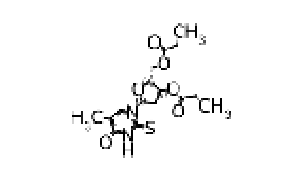 CCC(=O)OC[C@H]1O[C@H](n2cc(C)c(=O)[nH]c2=S)C[C@@H]1OC(=O)CC